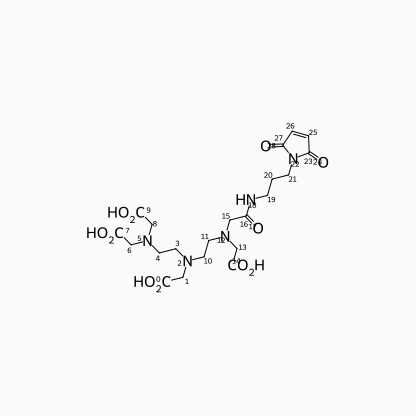 O=C(O)CN(CCN(CC(=O)O)CC(=O)O)CCN(CC(=O)O)CC(=O)NCCCN1C(=O)C=CC1=O